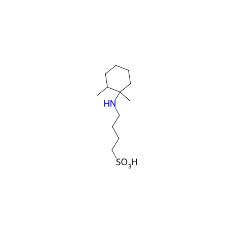 CC1CCCCC1(C)NCCCCS(=O)(=O)O